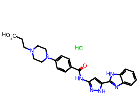 Cl.O=C(O)CCN1CCN(c2ccc(C(=O)Nc3cc(-c4nc5ccccc5[nH]4)[nH]n3)cc2)CC1